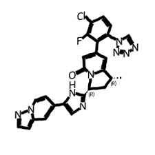 C[C@@H]1C[C@H](c2ncc(-c3ccn4nccc4c3)[nH]2)n2c1cc(-c1c(-n3cnnn3)ccc(Cl)c1F)cc2=O